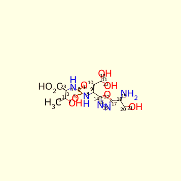 CC(O)[C@H](NS(=O)(=O)N[C@@H](CC(O)O)c1nnc([C@@H](N)CO)o1)C(=O)O